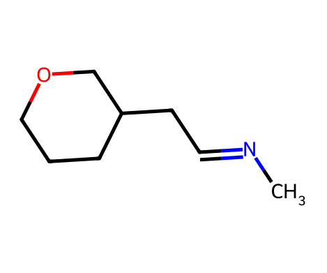 CN=CCC1CCCOC1